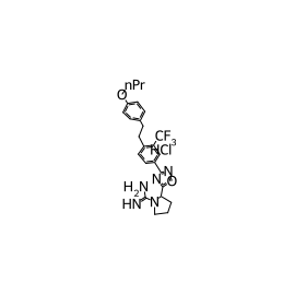 CCCOc1ccc(CCc2ccc(-c3noc(C4CCCN4C(=N)N)n3)cc2C(F)(F)F)cc1.Cl